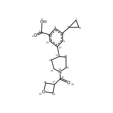 O=C(O)c1cc(C2CC2)cc(C2CCN(C(=O)C3COC3)CC2)c1